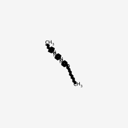 CCCCCCCCCCCOc1ccc(N=Nc2ccc(N=Nc3ccc(CCCC)cc3)cc2)cc1